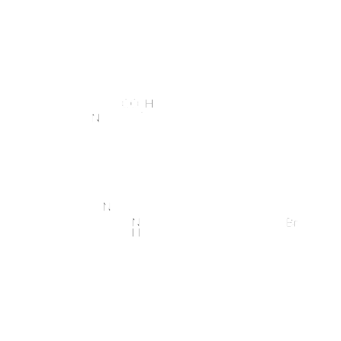 O=C(O)N1CCCC1c1cc(-c2ccc(Br)cc2)[nH]n1